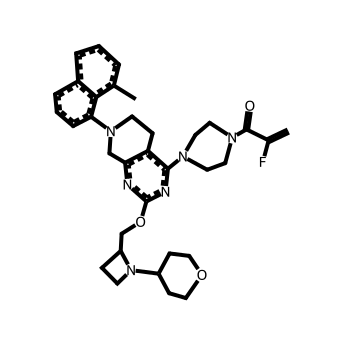 C=C(F)C(=O)N1CCN(c2nc(OCC3CCN3C3CCOCC3)nc3c2CCN(c2cccc4cccc(C)c24)C3)CC1